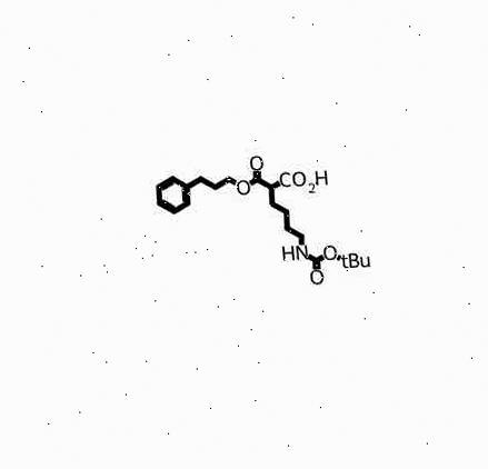 CC(C)(C)OC(=O)NCCCCC(C(=O)O)C(=O)OCCCc1ccccc1